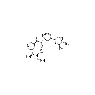 CCc1cc(-c2ccnc(C(=O)Nc3cccc(C(=N)N(C=N)C4CC4)c3)c2)cnc1CC